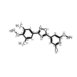 CCCOc1c(C)cc(-c2noc(-c3cc(Cl)nc(OC(C)C)c3)n2)cc1C